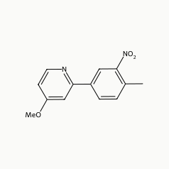 COc1ccnc(-c2ccc(C)c([N+](=O)[O-])c2)c1